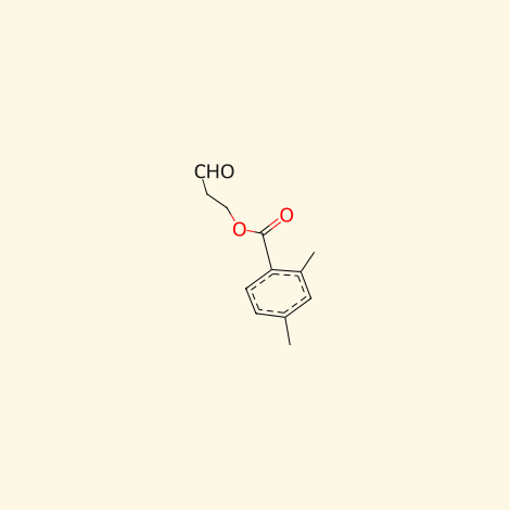 Cc1ccc(C(=O)OCCC=O)c(C)c1